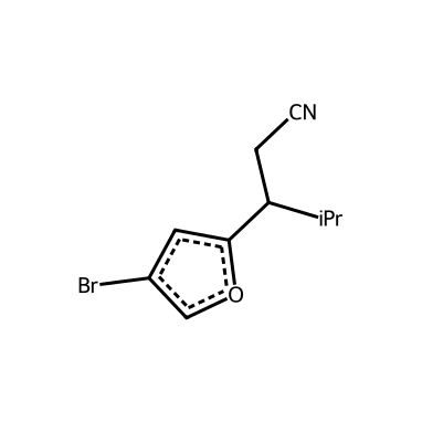 CC(C)C(CC#N)c1cc(Br)co1